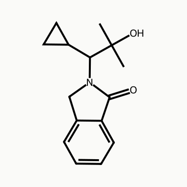 CC(C)(O)C(C1CC1)N1Cc2ccccc2C1=O